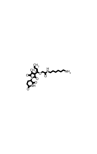 C=C/C=C(/OCC(=O)NCCCCCCN)C1=C(C)C(=O)N(C2CCC(=O)NC2=O)C1=O